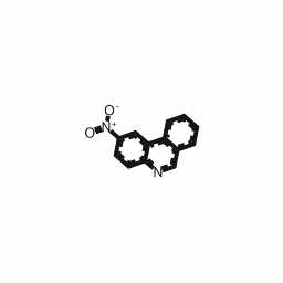 O=[N+]([O-])c1ccc2ncc3ccccc3c2c1